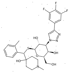 Cc1ccccc1C(S[C@@H]1O[C@H](CO)[C@H](O)[C@H](n2cc(-c3cc(F)c(F)c(F)c3)nn2)[C@H]1O)C1(O)CCN(C)CC1